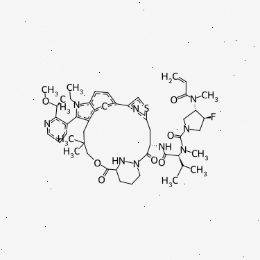 C=CC(=O)N(C)[C@H]1CN(C(=O)N(C)[C@H](C(=O)N[C@H]2Cc3nc(cs3)-c3ccc4c(c3)c(c(-c3cccnc3[C@H](C)OC)n4CC)CC(C)(C)COC(=O)C3CCCN(N3)C2=O)C(C)C)C[C@@H]1F